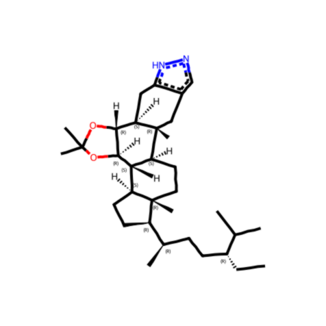 CC[C@H](CC[C@@H](C)[C@H]1CC[C@H]2[C@@H]3[C@H]4OC(C)(C)O[C@@H]4[C@H]4Cc5[nH]ncc5C[C@]4(C)[C@H]3CC[C@]12C)C(C)C